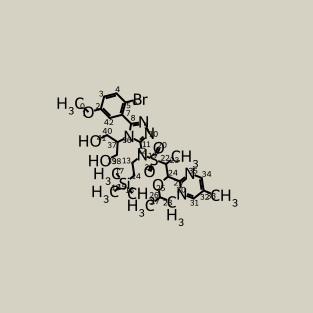 COc1ccc(Br)c(-c2nnc(N(CC[Si](C)(C)C)S(=O)(=O)C(C)C(OC(C)C)c3ncc(C)cn3)n2C(CO)CO)c1